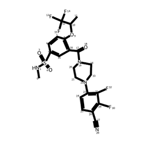 CNS(=O)(=O)c1ccc(OC(C)C(F)(F)F)c(C(=O)N2CCN(c3ccc(C#N)c(F)c3F)CC2)c1